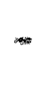 COc1cc([S+](C)[O-])ccc1-c1cn2cnccc2n1